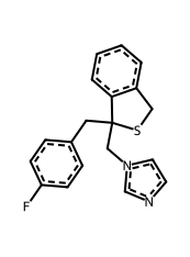 Fc1ccc(CC2(Cn3ccnc3)SCc3ccccc32)cc1